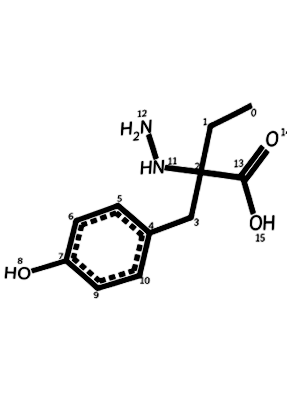 CCC(Cc1ccc(O)cc1)(NN)C(=O)O